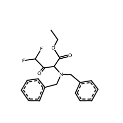 CCOC(=O)C(C(=O)C(F)F)N(Cc1ccccc1)Cc1ccccc1